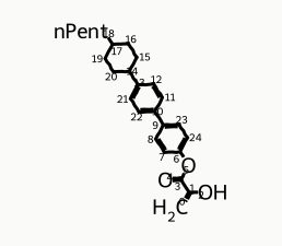 C=C(O)C(=O)Oc1ccc(-c2ccc(C3CCC(CCCCC)CC3)cc2)cc1